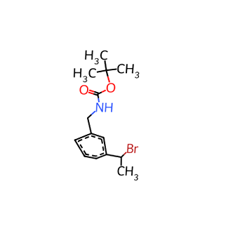 CC(Br)c1cccc(CNC(=O)OC(C)(C)C)c1